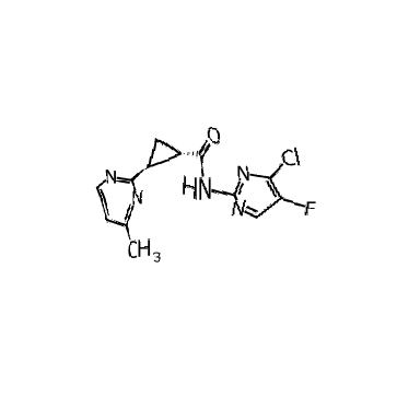 Cc1ccnc([C@H]2C[C@@H]2C(=O)Nc2ncc(F)c(Cl)n2)n1